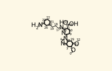 COc1cc2ncn(-c3ccc(C(=O)O)c(NCCCc4cccc(N)c4)n3)c2cc1OC